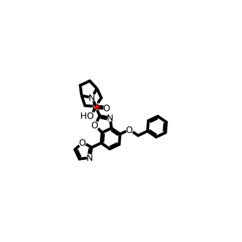 O=C(O)N1C2CCC1CN(c1nc3c(OCc4ccccc4)ccc(-c4ncco4)c3o1)C2